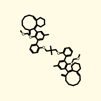 C=C1CCCCC/C=C2/CCCC/C2=C/1c1cc(C)cc(-c2ccccc2OCC(C)(C)COc2ccccc2-c2cc(C)cc(/C3=C4\CCCC\C4=C\CCCCCC3=C)c2OCOC)c1OCOC